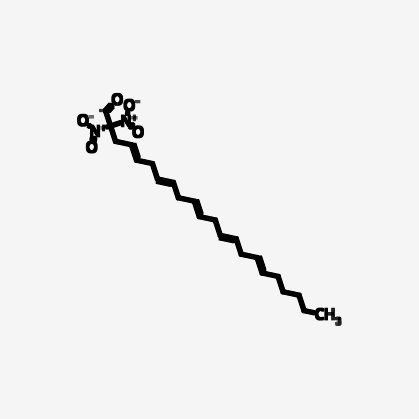 CCCCCC=CCC=CCC=CCC=CCC=CCC([C]=O)([N+](=O)[O-])[N+](=O)[O-]